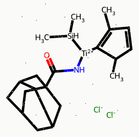 CC1=[C]([Ti+2]([NH]C(=O)C23CC4CC(CC(C4)C2)C3)[SiH](C)C)C(C)C=C1.[Cl-].[Cl-]